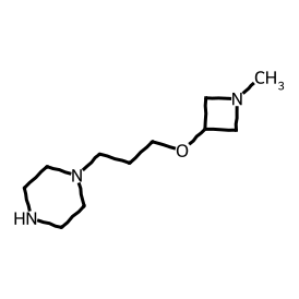 CN1CC(OCCCN2CCNCC2)C1